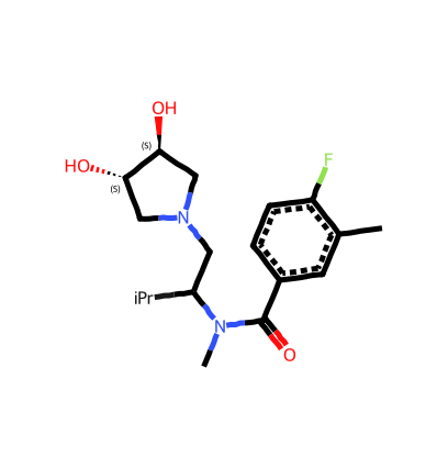 Cc1cc(C(=O)N(C)C(CN2C[C@H](O)[C@@H](O)C2)C(C)C)ccc1F